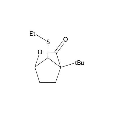 CCSC1C2CCC1(C(C)(C)C)C(=O)O2